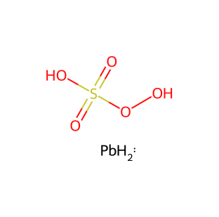 O=S(=O)(O)OO.[PbH2]